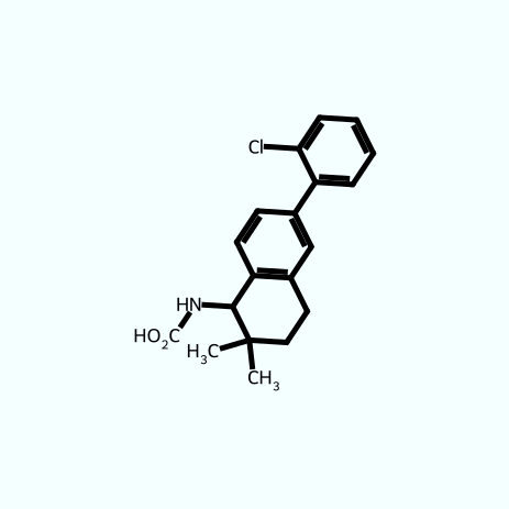 CC1(C)CCc2cc(-c3ccccc3Cl)ccc2C1NC(=O)O